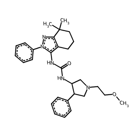 COCCN1CC(NC(=O)Nc2c3c(nn2-c2ccccc2)C(C)(C)CCC3)C(c2ccccc2)C1